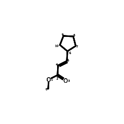 COC(=O)/C=C/C1CCCC1